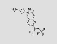 CN(CC(F)(F)F)c1ccc2c(n1)C=CC(N)(C1CC(N)C1)C2